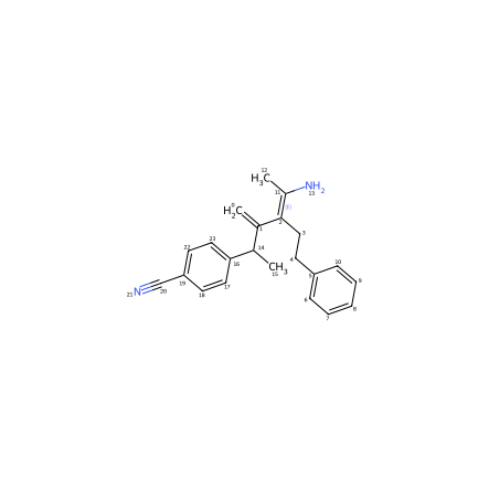 C=C(/C(CCc1ccccc1)=C(\C)N)C(C)c1ccc(C#N)cc1